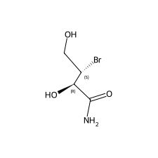 NC(=O)[C@@H](O)[C@@H](Br)CO